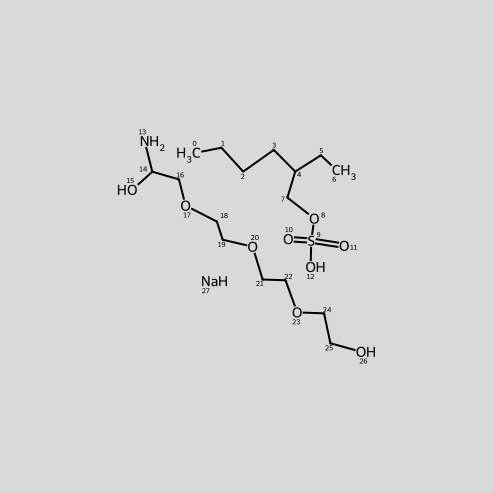 CCCCC(CC)COS(=O)(=O)O.NC(O)COCCOCCOCCO.[NaH]